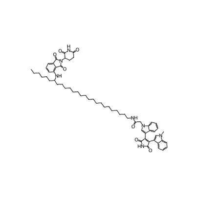 CCCCCCC(CCCCCCCCCCCCCCCCCCCNC(=O)Cn1cc(C2=C(c3cn(C)c4ccccc34)C(=O)NC2=O)c2ccccc21)Nc1cccc2c1C(=O)N(C1CCC(=O)NC1=O)C2=O